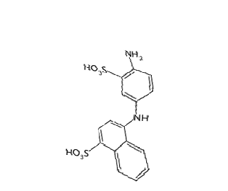 Nc1ccc(Nc2ccc(S(=O)(=O)O)c3ccccc23)cc1S(=O)(=O)O